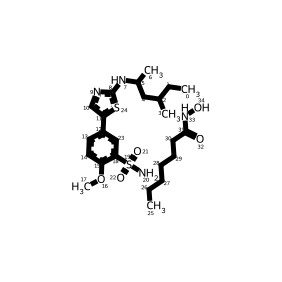 CCC(C)CC(C)Nc1ncc(-c2ccc(OC)c(S(N)(=O)=O)c2)s1.CCCCCCC(=O)NO